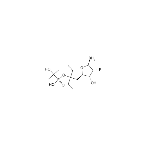 B[C@@H]1O[C@H](CC(CC)(CC)OP(=O)(O)C(C)(C)O)[C@@H](O)[C@H]1F